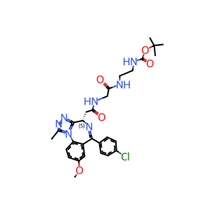 COc1ccc2c(c1)C(c1ccc(Cl)cc1)=N[C@@H](CC(=O)NCC(=O)NCCNC(=O)OC(C)(C)C)c1nnc(C)n1-2